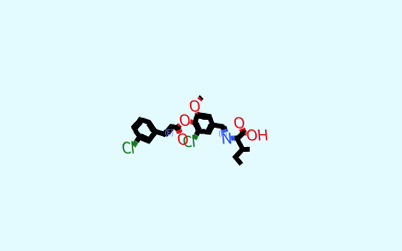 CCC(C)C(/N=C/c1cc(Cl)c(OC(=O)/C=C/c2cccc(Cl)c2)c(OC)c1)C(=O)O